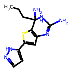 CCCC1(N)NC(N)=Nc2cc(-c3ccn[nH]3)sc21